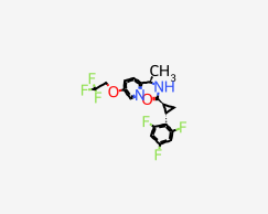 C[C@@H](NC(=O)[C@H]1C[C@@H]1c1c(F)cc(F)cc1F)c1ccc(OCC(F)(F)F)cn1